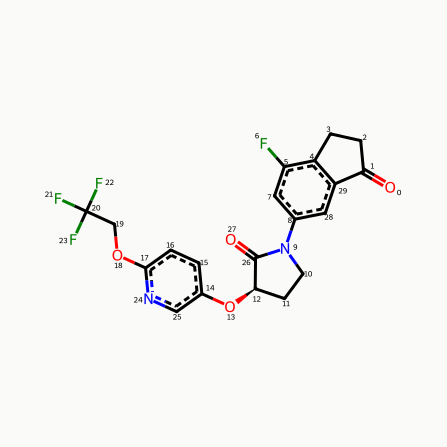 O=C1CCc2c(F)cc(N3CC[C@@H](Oc4ccc(OCC(F)(F)F)nc4)C3=O)cc21